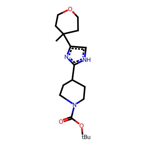 CC(C)(C)OC(=O)N1CCC(c2nc(C3(C)CCOCC3)c[nH]2)CC1